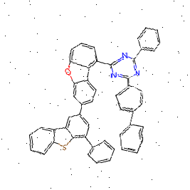 c1ccc(-c2ccc(-c3nc(-c4ccccc4)nc(-c4cccc5oc6cc(-c7cc(-c8ccccc8)c8sc9ccccc9c8c7)ccc6c45)n3)cc2)cc1